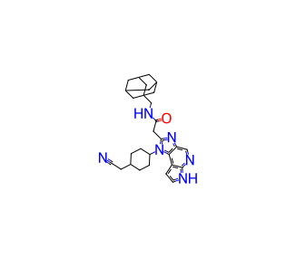 N#CCC1CCC(n2c(CC(=O)NCC34CC5CC(CC(C5)C3)C4)nc3cnc4[nH]ccc4c32)CC1